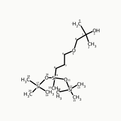 [CH2]C(C)(O)COCCC[Si](C)(O[Si](C)(C)C)O[Si](C)(C)C